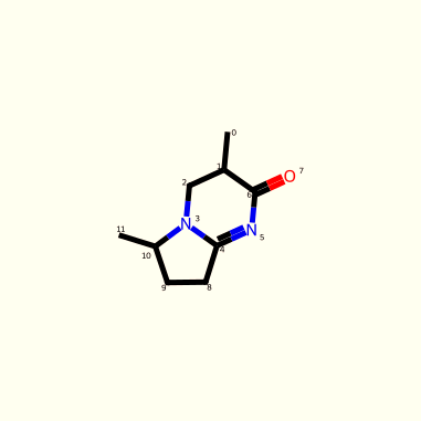 CC1CN2C(=NC1=O)CCC2C